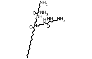 CCCCCCCCCCCCCC(=O)N(CCCNC(=O)[C@@H](N)CCCN)CCCNC(=O)[C@@H](N)CCCN